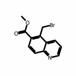 COC(=O)c1ccc2ncccc2c1CBr